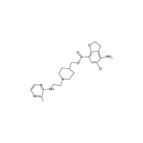 Cc1nccnc1NCCN1CCC(COC(=O)c2cc(Cl)c(N)c3c2OCC3)CC1